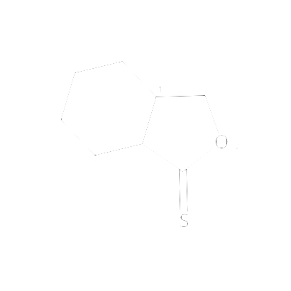 S=C1OCC2CCCCC12